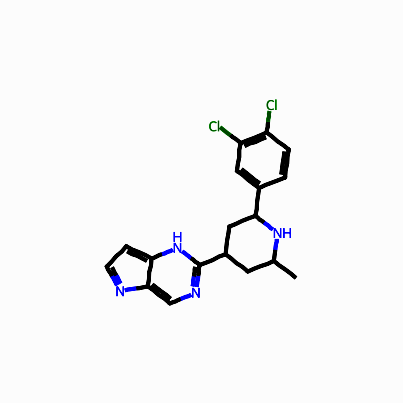 CC1CC(c2ncc3nccc-3[nH]2)CC(c2ccc(Cl)c(Cl)c2)N1